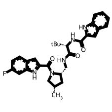 C[C@H]1C[C@@H](CNC(=O)[C@@H](NC(=O)c2cc3ccccc3[nH]2)C(C)(C)C)N(C(=O)c2cc3ccc(F)cc3[nH]2)C1